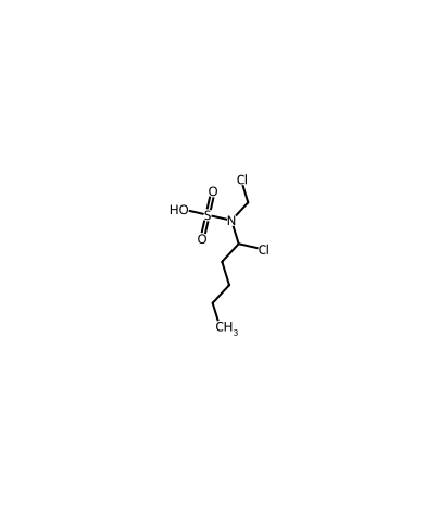 CCCCC(Cl)N(CCl)S(=O)(=O)O